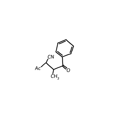 CC(=O)C(C#N)C(C)C(=O)c1ccccc1